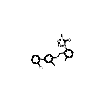 Cc1cc(-c2ccccc2Cl)ccc1OCc1c(C)cccc1-n1nnn(C)c1=O